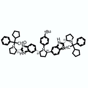 CC(C)(C)c1ccc(N2[C@@H](c3ccc4nc([C@@H]5CCCN5C(C=O)(c5ccccc5)C5CCCC5)[nH]c4c3)CC[C@@H]2c2ccc3nc([C@@H]4CCCN4C(C=O)(c4ccccc4)C4CCCC4)[nH]c3c2)cc1